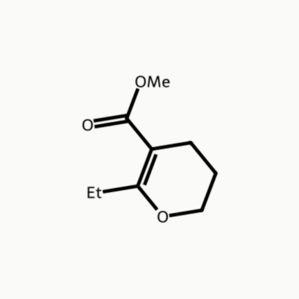 CCC1=C(C(=O)OC)CCCO1